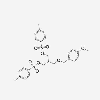 COc1ccc(COCC(COS(=O)(=O)c2ccc(C)cc2)COS(=O)(=O)c2ccc(C)cc2)cc1